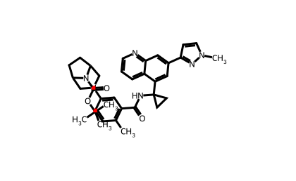 Cc1ccc(N2CC3CCC(C2)N3C(=O)OC(C)(C)C)cc1C(=O)NC1(c2cc(-c3ccn(C)n3)cc3ncccc23)CC1